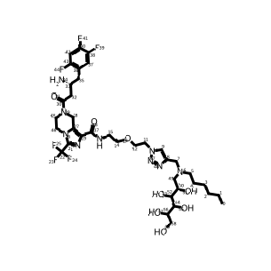 CCCCCCN(Cc1cn(CCOCCNC(=O)c2nc(C(F)(F)F)n3c2CN(C(=O)C[C@H](N)Cc2cc(F)c(F)cc2F)CC3)nn1)CC(O)C(O)C(O)C(O)CO